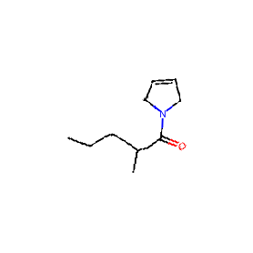 CCCC(C)C(=O)N1CC=CC1